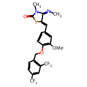 C/N=C1\C(=C\c2ccc(OCc3ccc(C(F)(F)F)cc3C(F)(F)F)c(OC)c2)SC(=O)N1C